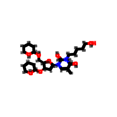 Cc1cn([C@H]2C[C@H](OC3CCCCO3)[C@@H](COC3CCCCO3)O2)c(=O)n(CCCCCO)c1=O